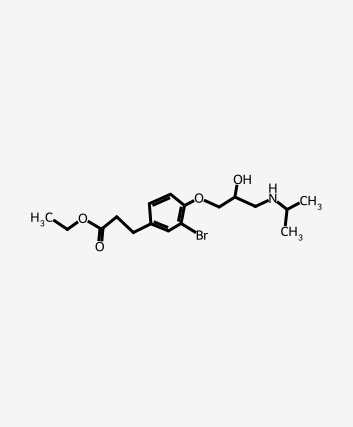 CCOC(=O)CCc1ccc(OCC(O)CNC(C)C)c(Br)c1